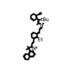 C#CC1=C(/C(=C(\C)N(C)/C=C/C=C2\C=CCC(/C=C/C3=[N+](C)c4ccc5c(c4C3(C)C)C=C=CC5)=C2CC)C(C)(C)C)C=CCC1